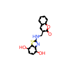 O=c1oc2ccccc2cc1CNc1nc2c(O)ccc(O)c2s1